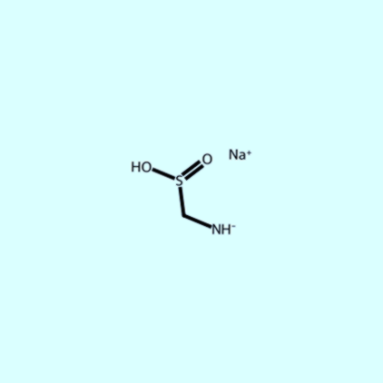 [NH-]CS(=O)O.[Na+]